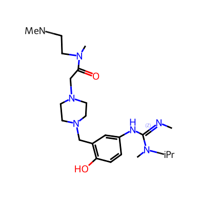 C/N=C(/Nc1ccc(O)c(CN2CCN(CC(=O)N(C)CCNC)CC2)c1)N(C)C(C)C